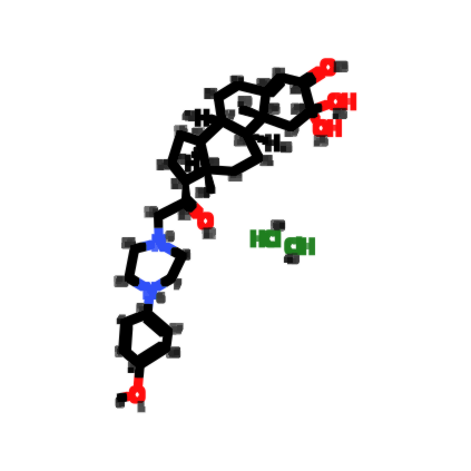 COc1ccc(N2CCN(CC(=O)[C@H]3CC[C@H]4[C@@H]5CCC6=CC(=O)C(O)(O)C[C@]6(C)[C@H]5CC[C@]34C)CC2)cc1.Cl.Cl